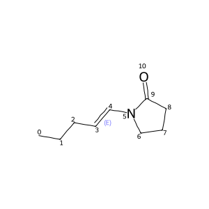 CCC/C=C/N1CCCC1=O